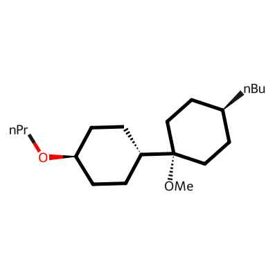 CCCC[C@H]1CC[C@@](OC)([C@H]2CC[C@H](OCCC)CC2)CC1